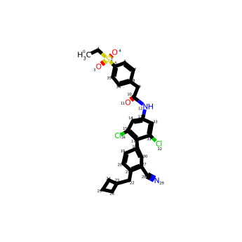 CCS(=O)(=O)c1ccc(CC(=O)Nc2cc(Cl)c(-c3ccc(CC4CCC4)c(C#N)c3)c(Cl)c2)cc1